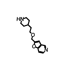 c1cc2oc(COCCC3CCNCC3)cc2cn1